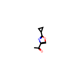 CC(=O)c1coc(C2CC2)n1